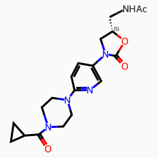 CC(=O)NC[C@H]1CN(c2ccc(N3CCN(C(=O)C4CC4)CC3)nc2)C(=O)O1